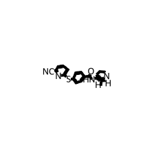 C[C@H]1[C@H](NC(=O)c2ccc(Sc3cccc(C#N)n3)cc2)C2CCN1CC2